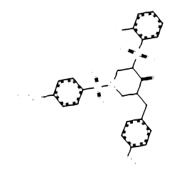 CC(=O)Nc1ccc(S(=O)(=O)N2CC(Cc3ccc(C#N)cc3)C(=O)C(S(=O)(=O)c3ccccc3F)C2)cc1